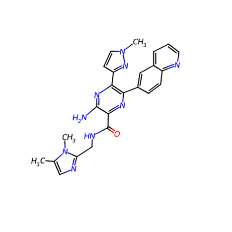 Cc1cnc(CNC(=O)c2nc(-c3ccc4ncccc4c3)c(-c3ccn(C)n3)nc2N)n1C